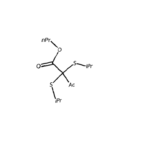 CCCOC(=O)C(SC(C)C)(SC(C)C)C(C)=O